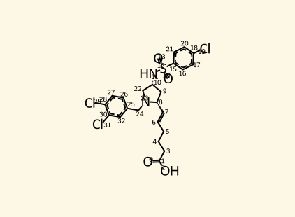 O=C(O)CCCC=C[C@@H]1C[C@@H](NS(=O)(=O)c2ccc(Cl)cc2)CN1Cc1ccc(Cl)c(Cl)c1